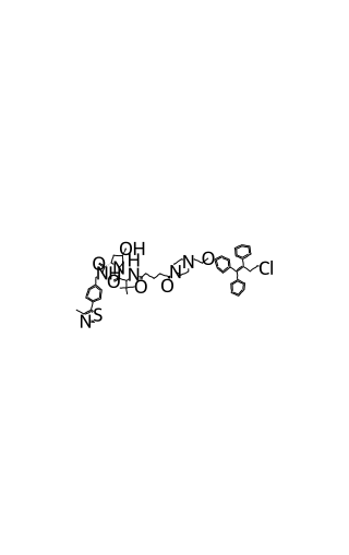 Cc1ncsc1-c1ccc(CNC(=O)[C@@H]2C[C@@H](O)CN2C(=O)C(NC(=O)CCCC(=O)N2CCN(CCOc3ccc(/C(=C(/CCCl)c4ccccc4)c4ccccc4)cc3)CC2)C(C)(C)C)cc1